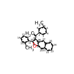 C=C(c1cccc(C)c1)c1c(-c2ccccc2C)oc2cc3ccccc3cc12